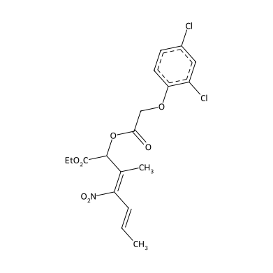 C/C=C/C(=C(\C)C(OC(=O)COc1ccc(Cl)cc1Cl)C(=O)OCC)[N+](=O)[O-]